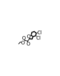 CCOC(=O)C(=O)c1cc2c(Cl)c(Cl)ccc2o1